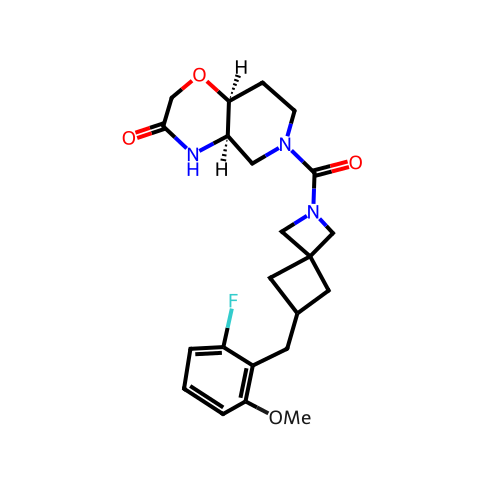 COc1cccc(F)c1CC1CC2(C1)CN(C(=O)N1CC[C@@H]3OCC(=O)N[C@@H]3C1)C2